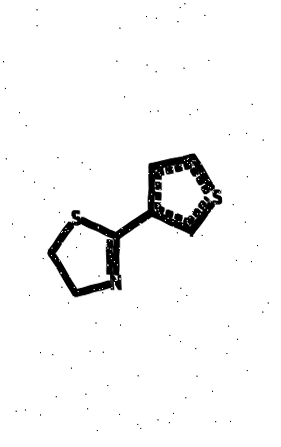 [c]1sccc1C1=NCCS1